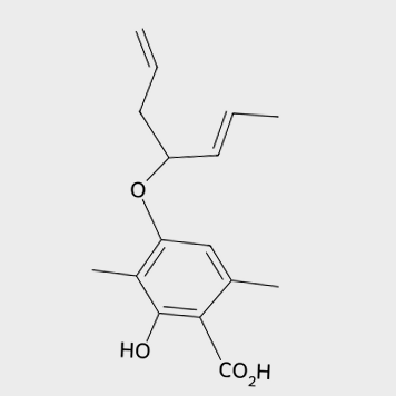 C=CCC(/C=C/C)Oc1cc(C)c(C(=O)O)c(O)c1C